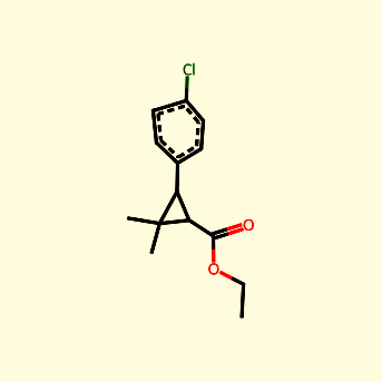 CCOC(=O)C1C(c2ccc(Cl)cc2)C1(C)C